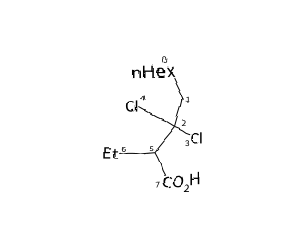 CCCCCCCC(Cl)(Cl)C(CC)C(=O)O